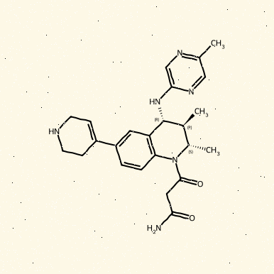 Cc1cnc(N[C@H]2c3cc(C4=CCNCC4)ccc3N(C(=O)CC(N)=O)[C@@H](C)[C@@H]2C)cn1